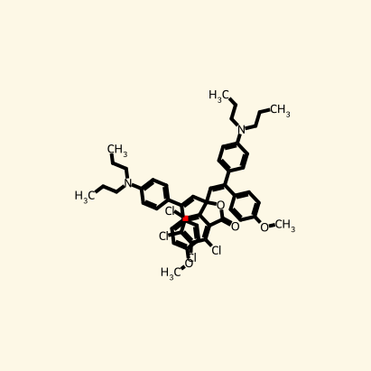 CCCN(CCC)c1ccc(C(=CC2(C=C(c3ccc(OC)cc3)c3ccc(N(CCC)CCC)cc3)OC(=O)c3c(Cl)c(Cl)c(Cl)c(Cl)c32)c2ccc(OC)cc2)cc1